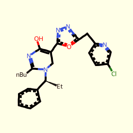 CCCCC1=NC(O)=C(c2nnc(Cc3ccc(Cl)cn3)o2)CN1[C@@H](CC)c1ccccc1